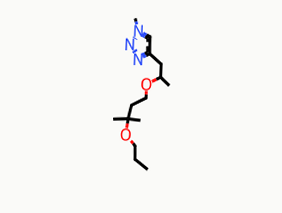 CCCOC(C)(C)CCOC(C)Cc1cn(C)nn1